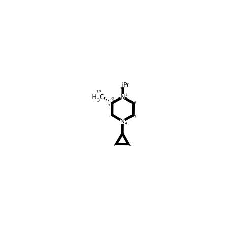 CC(C)N1CCN(C2CC2)C[C@@H]1C